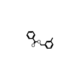 Cc1cccc(COC(=O)c2ccccc2)c1